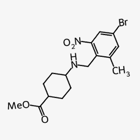 COC(=O)C1CCC(NCc2c(C)cc(Br)cc2[N+](=O)[O-])CC1